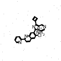 N[N+]12C=CN=CC1=C(C1=CC=C1)N=C2c1cc2nc(-c3ccccn3)ccc2cc1Cl